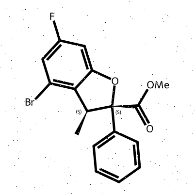 COC(=O)[C@]1(c2ccccc2)Oc2cc(F)cc(Br)c2[C@@H]1C